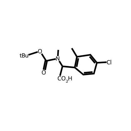 Cc1cc(Cl)ccc1C(C(=O)O)N(C)C(=O)OC(C)(C)C